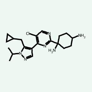 CC(C)n1ncc(-c2nc(C3(N)CCC(N)CC3)ncc2Cl)c1CC1CC1